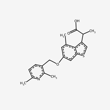 Cc1ccc(COc2cc(C)c3c(C(C)C(=O)O)csc3c2)c(C)n1